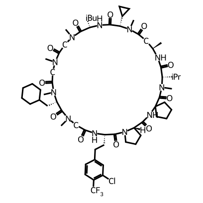 CCC(C)[C@@H]1NC(=O)[C@H](C2CC2)N(C)C(=O)C[C@@H](C)NC(=O)[C@H](C(C)C)N(C)C(=O)C2(CCCC2)NC(=O)[C@@H]2CCCN2C(=O)[C@H](CCc2ccc(C(F)(F)F)c(Cl)c2)NC(=O)CN(C)C(=O)[C@H](CC2CCCCC2)N(C)C(=O)CN(C)C(=O)CN(C)C1=O